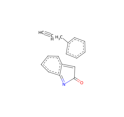 C#C.Cc1ccccc1.O=C1C=c2ccccc2=N1